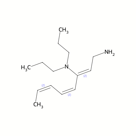 C\C=C/C=C\C(=C\CN)N(CCC)CCC